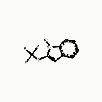 [O-][NH+]1C(SC(F)(F)F)=Cc2ccccc21